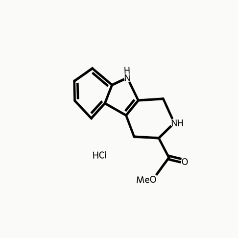 COC(=O)C1Cc2c([nH]c3ccccc23)CN1.Cl